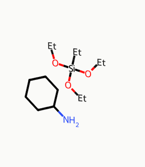 CCO[Si](CC)(OCC)OCC.NC1CCCCC1